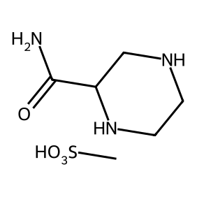 CS(=O)(=O)O.NC(=O)C1CNCCN1